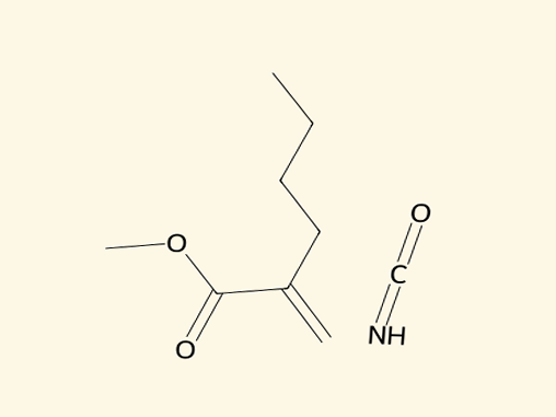 C=C(CCCC)C(=O)OC.N=C=O